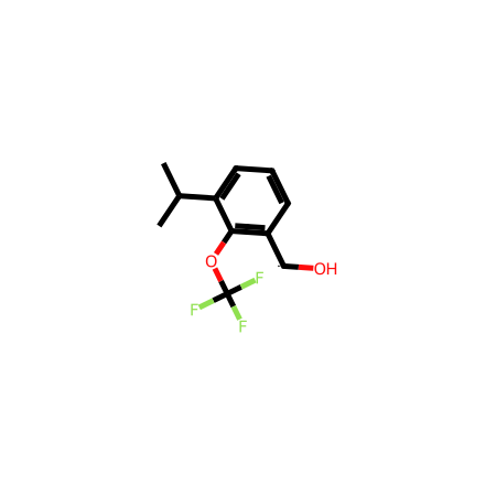 CC(C)c1cccc([CH]O)c1OC(F)(F)F